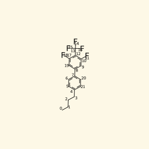 CCCCc1ccc(-c2cc(F)c(C(F)(F)F)c(F)c2)cc1